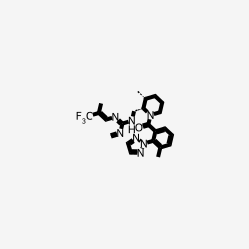 C=N/C(=N\C=C(/C)C(F)(F)F)NC[C@@H]1[C@H](C)CCCN1C(=O)c1cccc(C)c1-n1nccn1